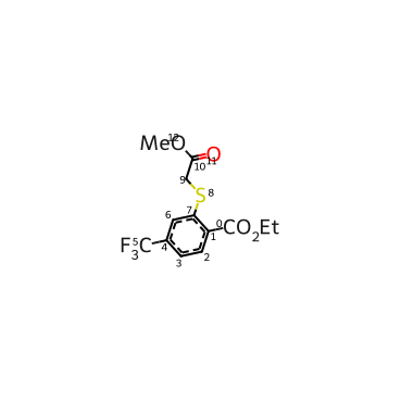 CCOC(=O)c1ccc(C(F)(F)F)cc1SCC(=O)OC